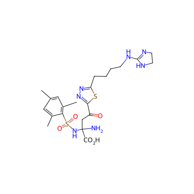 Cc1cc(C)c(S(=O)(=O)NC(N)(CC(=O)c2nnc(CCCCNC3=NCCN3)s2)C(=O)O)c(C)c1